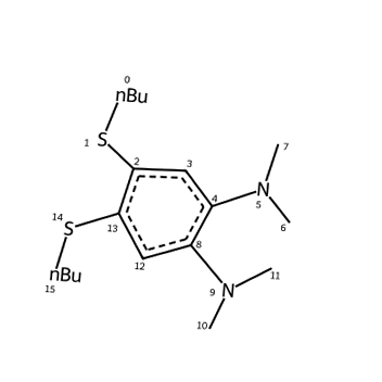 CCCCSc1cc(N(C)C)c(N(C)C)cc1SCCCC